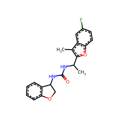 Cc1c(C(C)NC(=O)NC2COc3ccccc32)oc2ccc(F)cc12